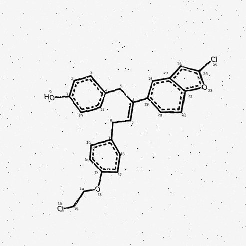 Oc1ccc(CC(=CCc2ccc(OCCCl)cc2)c2ccc3oc(Cl)cc3c2)cc1